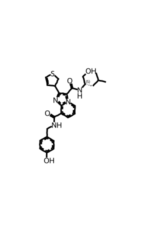 CC(C)C[C@@H](CO)NC(=O)c1c(C2C=CSC2)nc2c(C(=O)NCc3ccc(O)cc3)cccn12